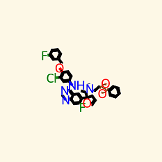 CC(N(C)CCS(=O)(=O)c1ccccc1)C1(c2cc3c(Nc4ccc(OCc5cccc(F)c5)c(Cl)c4)ncnc3cc2F)CC=CO1